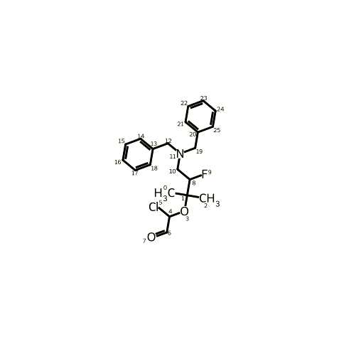 CC(C)(OC(Cl)C=O)C(F)CN(Cc1ccccc1)Cc1ccccc1